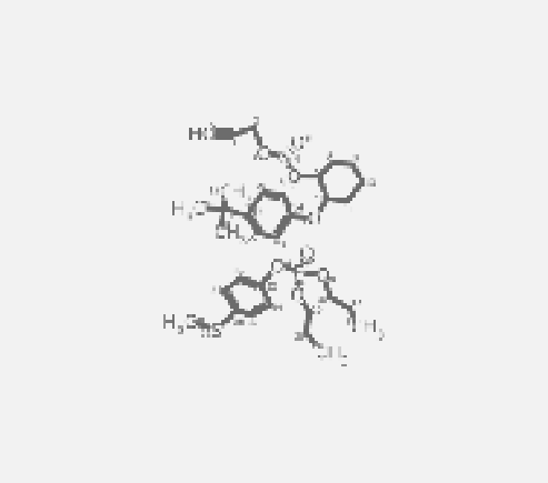 C#CCOS(=O)OC1CCCCC1Oc1ccc(C(C)(C)C)cc1.CCCOP(=O)(OCCC)Oc1ccc(SC)cc1